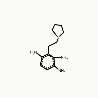 Nc1ccc(N)c(CCN2CCCC2)c1N